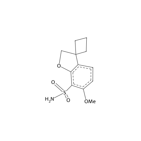 COc1ccc2c(c1S(N)(=O)=O)OCC21CCC1